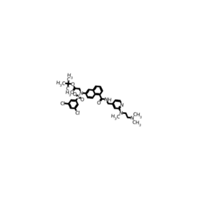 CN(C)CCN(C)c1cc(CNC(=O)c2cccc3cc(N(CC(=O)OC(C)(C)C)S(=O)(=O)c4cc(Cl)cc(Cl)c4)ccc23)ccn1